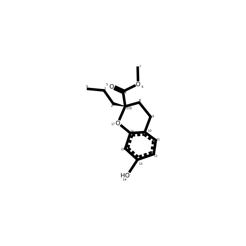 CCC[C@@]1(C(=O)OC)CCc2ccc(O)cc2O1